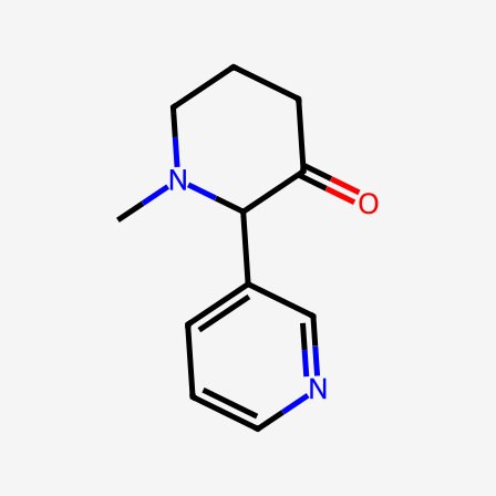 CN1CCCC(=O)C1c1cccnc1